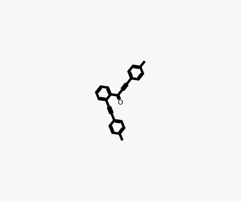 Cc1ccc(C#CC(=O)c2ccccc2C#Cc2ccc(C)cc2)cc1